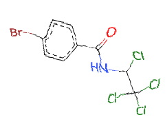 O=C(NC(Cl)C(Cl)(Cl)Cl)c1ccc(Br)cc1